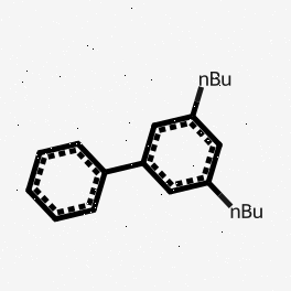 CCCCc1cc(CCCC)cc(-c2ccccc2)c1